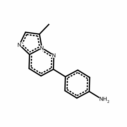 Cc1cnc2ccc(-c3ccc(N)cc3)nn12